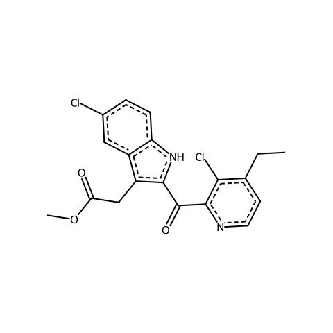 CCc1ccnc(C(=O)c2[nH]c3ccc(Cl)cc3c2CC(=O)OC)c1Cl